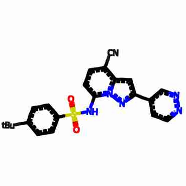 CC(C)(C)c1ccc(S(=O)(=O)Nc2ccc(C#N)c3cc(-c4ccnnc4)nn23)cc1